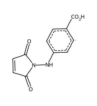 O=C(O)c1[c]cc(NN2C(=O)C=CC2=O)cc1